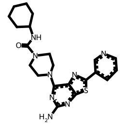 Nc1nc(N2CCN(C(=O)NC3CCCCC3)CC2)c2nc(-c3cccnc3)sc2n1